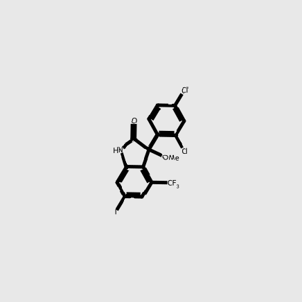 COC1(c2ccc(Cl)cc2Cl)C(=O)Nc2cc(I)cc(C(F)(F)F)c21